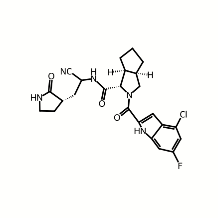 N#CC(C[C@@H]1CCNC1=O)NC(=O)[C@@H]1[C@H]2CCC[C@H]2CN1C(=O)c1cc2c(Cl)cc(F)cc2[nH]1